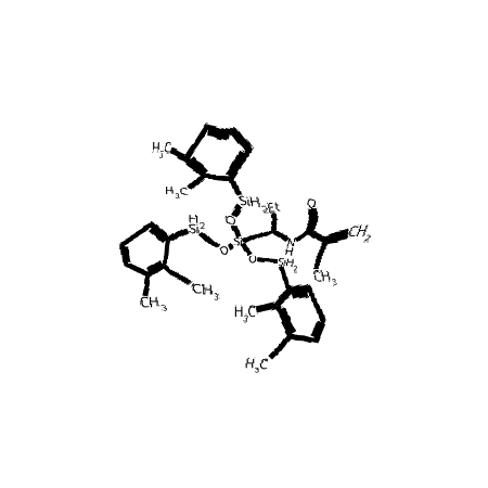 C=C(C)C(=O)NC(CC)[Si](O[SiH2]c1cccc(C)c1C)(O[SiH2]c1cccc(C)c1C)O[SiH2]c1cccc(C)c1C